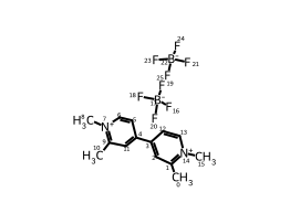 Cc1cc(-c2cc[n+](C)c(C)c2)cc[n+]1C.F[B-](F)(F)F.F[B-](F)(F)F